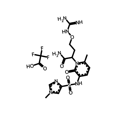 Cc1ccc(NS(=O)(=O)c2cn(C)cn2)c(=O)n1C(CCONC(=N)N)C(N)=O.O=C(O)C(F)(F)F